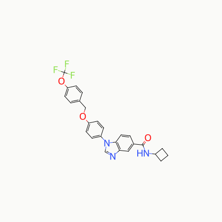 O=C(NC1CCC1)c1ccc2c(c1)ncn2-c1ccc(OCc2ccc(OC(F)(F)F)cc2)cc1